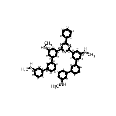 CNc1cccc(-c2cccc(-c3cc(NC)cc(-c4nc(-c5ccccc5)nc(-c5cc(NC)cc(-c6cccc(-c7cccc(NC)c7)c6)c5)n4)c3)c2)c1